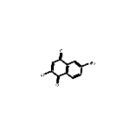 CCCCc1ccc2c(c1)C(=O)C=C(CC)C2=O